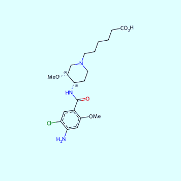 COc1cc(N)c(Cl)cc1C(=O)N[C@H]1CCN(CCCCCC(=O)O)C[C@H]1OC